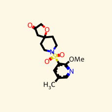 COc1ncc(C)cc1S(=O)(=O)N1CCC2(CC1)CC(=O)CO2